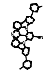 Cc1cccc(-c2ccc3c(c2)c2ccccc2n3-c2cc(C#N)cc(-n3c4ccccc4c4cc(-c5cccc(C)c5)ccc43)c2-c2ccncc2)c1